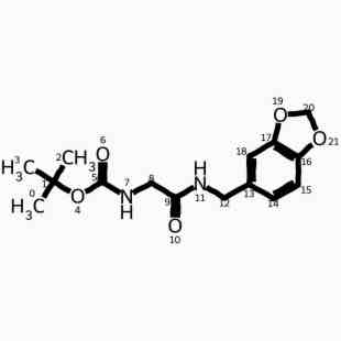 CC(C)(C)OC(=O)NCC(=O)NCc1ccc2c(c1)OCO2